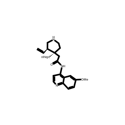 C=C[C@H]1CNCC[C@@]1(CCCCCCC)CC(=O)Nc1ccnc2ccc(OC)cc12